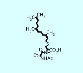 CC[C@@H](NC(C)=O)C(=O)N[C@@H](CSCC=C(C)CCC=C(C)CCC=C(C)C)C(=O)O